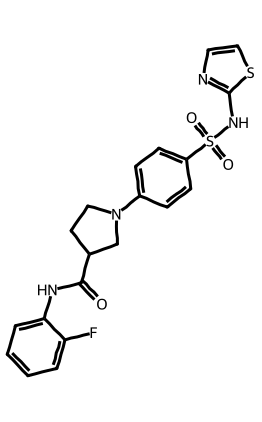 O=C(Nc1ccccc1F)C1CCN(c2ccc(S(=O)(=O)Nc3nccs3)cc2)C1